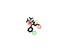 CC(C)[Si](OC(c1cccc(Cl)c1)c1csc(C=O)c1)(C(C)C)C(C)C